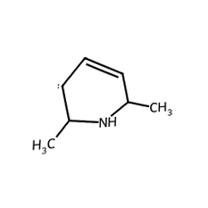 CC1[C]C=CC(C)N1